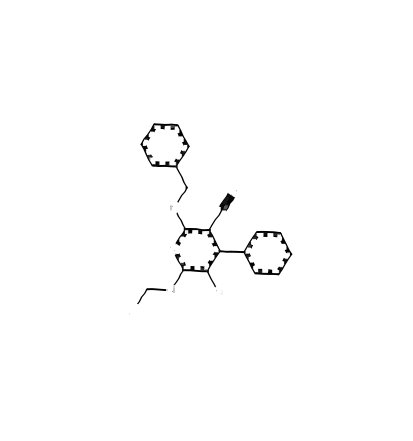 CCNc1nc(NCc2ccccc2)c(C#N)c(-c2ccccc2)c1N